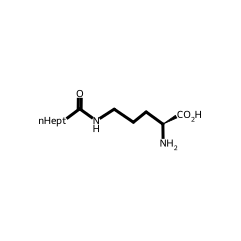 CCCCCCCC(=O)NCCC[C@H](N)C(=O)O